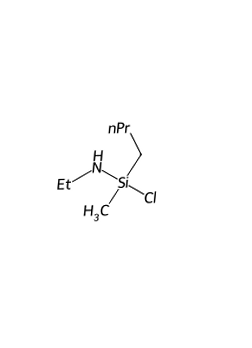 CCCC[Si](C)(Cl)NCC